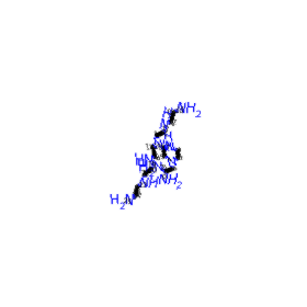 NC(N)CN1CCNCC1.NCCNCCNCCNCCNCCN